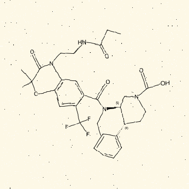 CCC(=O)NCCN1C(=O)C(C)(C)Oc2cc(C(F)(F)F)c(C(=O)N(CC)[C@H]3CN(C(=O)O)CC[C@@H]3c3ccccc3)cc21